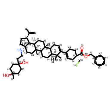 C=C(C)[C@@H]1CC[C@]2(NCCC3(O)CCC(C)(O)CC3)CC[C@]3(C)[C@H](CC[C@@H]4[C@@]5(C)CC=C(C6=CC[C@](CF)(C(=O)OCc7ccccc7)CC6)C(C)(C)[C@@H]5CC[C@]43C)[C@@H]12